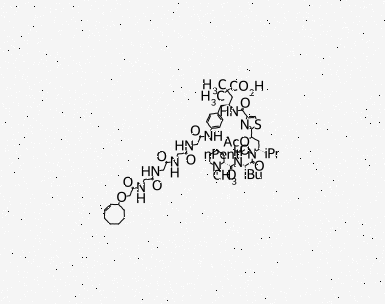 CCCCCON(C(=O)[C@@H](NC(=O)[C@H]1CCCCN1C)[C@@H](C)CC)[C@H](C[C@@H](OC(C)=O)c1nc(C(=O)N[C@@H](Cc2ccc(NC(=O)CNC(=O)CNC(=O)CNC(=O)CNC(=O)COC3/C=C\CCCCC3)cc2)CC(C)(C)C(=O)O)cs1)C(C)C